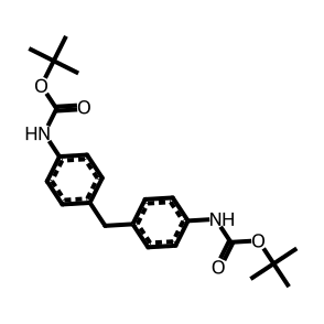 CC(C)(C)OC(=O)Nc1ccc(Cc2ccc(NC(=O)OC(C)(C)C)cc2)cc1